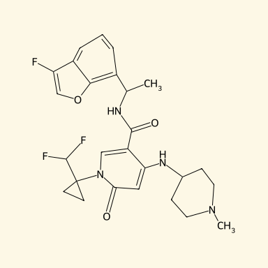 CC(NC(=O)c1cn(C2(C(F)F)CC2)c(=O)cc1NC1CCN(C)CC1)c1cccc2c(F)coc12